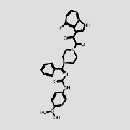 O=C(/N=C(\c1ccccc1)N1CCN(C(=O)C(=O)c2c[nH]c3cccc(F)c23)CC1)Nc1ccc(B(O)O)cc1